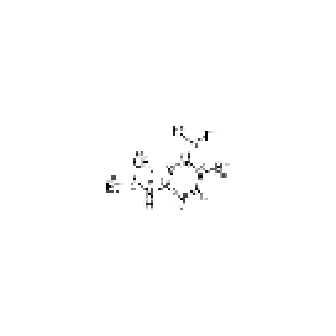 CC[C@@H](Nc1cc(C(F)F)c(Br)cn1)C(F)(F)F